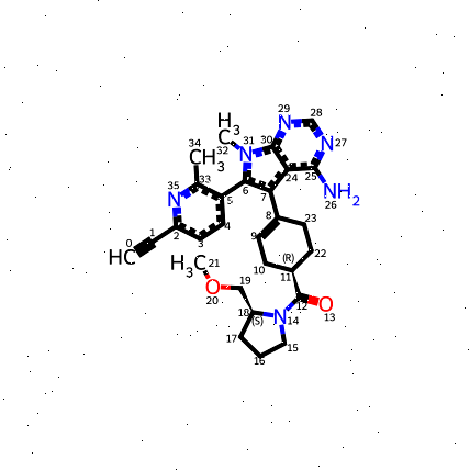 C#Cc1ccc(-c2c(C3=CC[C@H](C(=O)N4CCC[C@H]4COC)CC3)c3c(N)ncnc3n2C)c(C)n1